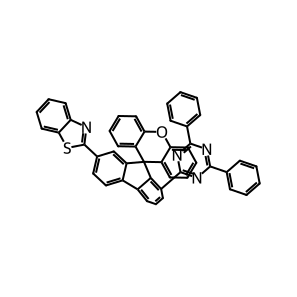 c1ccc(-c2nc(-c3ccccc3)nc(-c3cccc4c3C3(c5ccccc5Oc5ccccc53)c3cc(-c5nc6ccccc6s5)ccc3-4)n2)cc1